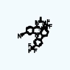 Cc1nc(C)nc(-c2ccc(C#N)cc2-n2c3cc(C(F)(F)F)ccc3c3ccc(C(F)(F)F)cc32)n1